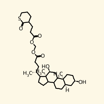 C[C@H](CCC(=O)OCOC(=O)CCC1CCCSC1=O)C1CCC2C3CC[C@@H]4C[C@H](O)CC[C@]4(C)C3C[C@H](O)[C@@]21C